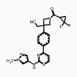 Cn1cc(Nc2nccc(-c3ccc(C4(CC#N)CN(C(=O)C5CC5(F)F)C4)cc3)n2)cn1